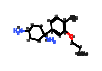 COCCOc1cc(C2(N)CCC(N)CC2)ccc1C(C)(C)C